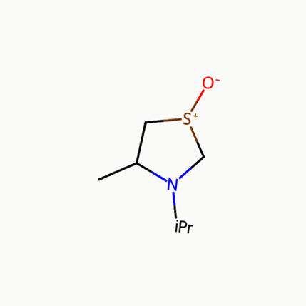 CC(C)N1C[S+]([O-])CC1C